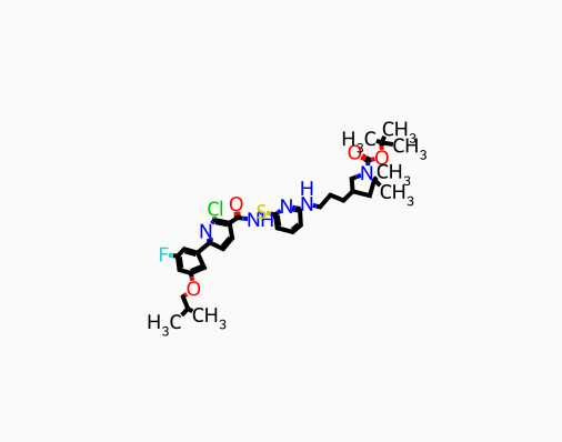 CC(C)COc1cc(F)cc(-c2ccc(C(=O)NSc3cccc(NCCCC4CN(C(=O)OC(C)(C)C)C(C)(C)C4)n3)c(Cl)n2)c1